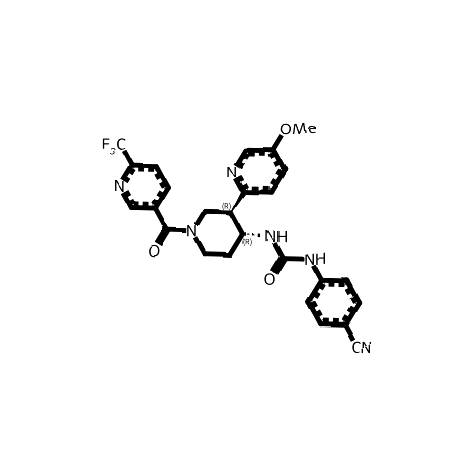 COc1ccc([C@@H]2CN(C(=O)c3ccc(C(F)(F)F)nc3)CC[C@H]2NC(=O)Nc2ccc(C#N)cc2)nc1